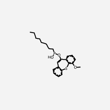 CCCCCCCCP(O)OC1=Cc2ccccc2Sc2c(OC)cccc21